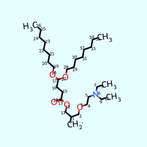 [CH2]C(COCCN(CC)CC)COC(=O)CCC(OCCCCCCCC)OCCCCCCCC